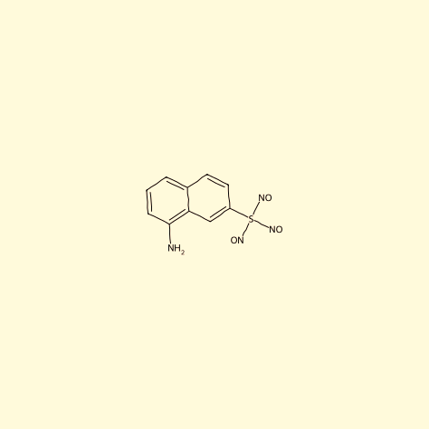 Nc1cccc2ccc(S(N=O)(N=O)N=O)cc12